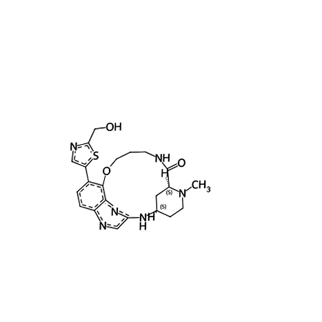 CN1CC[C@H]2C[C@H]1C(=O)NCCCOc1c(-c3cnc(CO)s3)ccc3ncc(nc13)N2